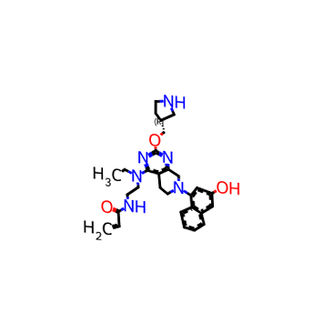 C=CC(=O)NCCN(CC)c1nc(OC[C@@H]2CCNC2)nc2c1CCN(c1cc(O)cc3ccccc13)C2